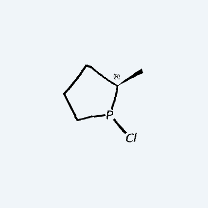 C[C@@H]1CCCP1Cl